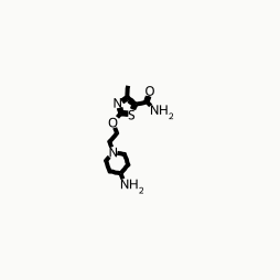 Cc1nc(OCCN2CCC(N)CC2)sc1C(N)=O